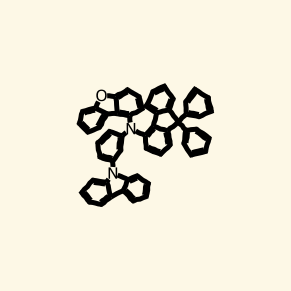 c1ccc(C2(c3ccccc3)c3ccccc3-c3c(N(c4cccc(-n5c6ccccc6c6ccccc65)c4)c4cccc5oc6ccccc6c45)cccc32)cc1